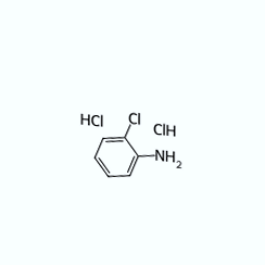 Cl.Cl.Nc1ccccc1Cl